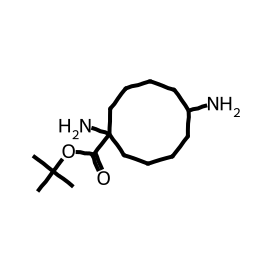 CC(C)(C)OC(=O)C1(N)CCCCC(N)CCCC1